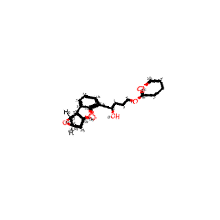 OC(CCCOC1CCCCO1)c1cccc2c1OC1C[C@H]3O[C@H]3C21